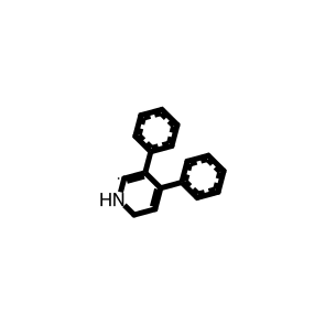 [C]1=C(c2ccccc2)C(c2ccccc2)=CCN1